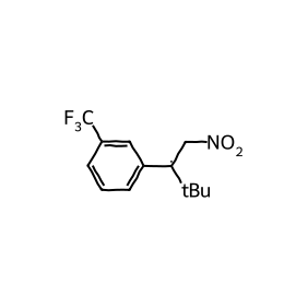 CC(C)(C)[C](C[N+](=O)[O-])c1cccc(C(F)(F)F)c1